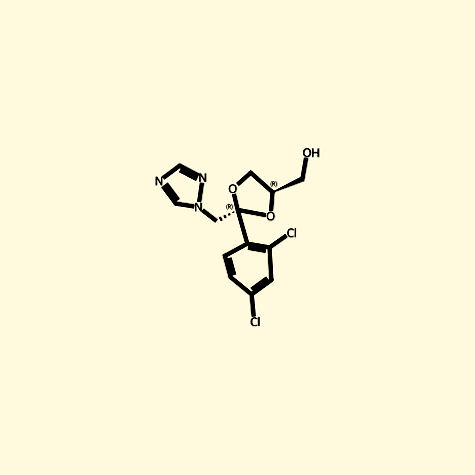 OC[C@@H]1CO[C@](Cn2cncn2)(c2ccc(Cl)cc2Cl)O1